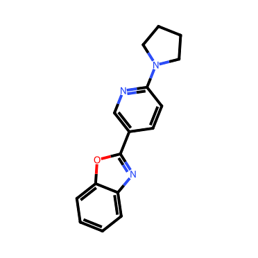 c1ccc2oc(-c3ccc(N4CCCC4)nc3)nc2c1